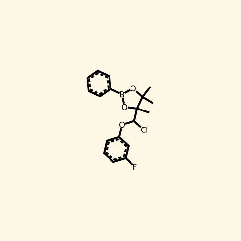 CC1(C)OB(c2ccccc2)OC1(C)C(Cl)Oc1cccc(F)c1